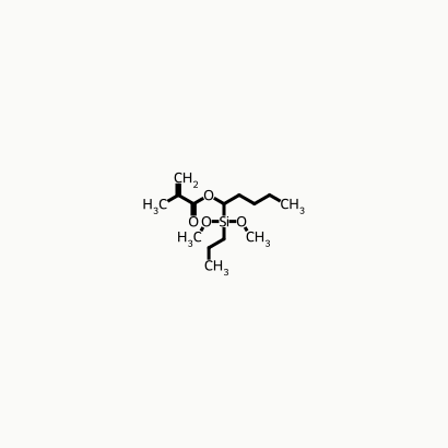 C=C(C)C(=O)OC(CCCC)[Si](CCC)(OC)OC